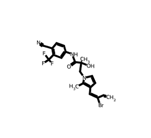 C=C/C(Br)=C\c1ccn(C[C@](C)(O)C(=O)Nc2ccc(C#N)c(C(F)(F)F)c2)c1C